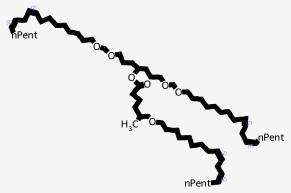 CCCCC/C=C\C/C=C\CCCCCCCCOCOCCCC(CCCOCOCCCCCCCC/C=C\C/C=C\CCCCC)OC(=O)CCCC(C)COCCCCCCCC/C=C\C/C=C\CCCCC